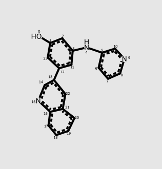 Oc1cc(Nc2cccnc2)cc(-c2cnc3ccccc3c2)c1